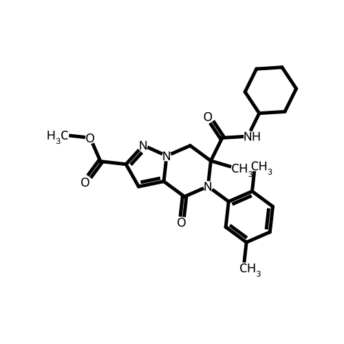 COC(=O)c1cc2n(n1)CC(C)(C(=O)NC1CCCCC1)N(c1cc(C)ccc1C)C2=O